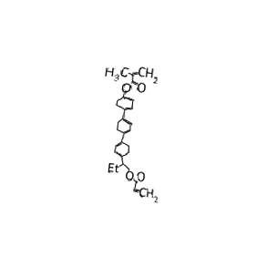 C=CC(=O)OCC(CC)C1=CC=C(C2=CC=C(C3=CC=C(OC(=O)C(=C)C)CC3)CC2)CC1